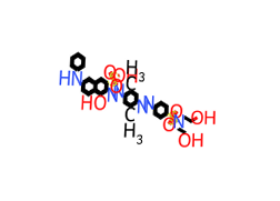 Cc1cc(/N=N/c2c(S(=O)(=O)O)cc3cc(Nc4ccccc4)ccc3c2O)c(C)cc1/N=N/c1ccc(S(=O)(=O)N(CCO)CCO)cc1